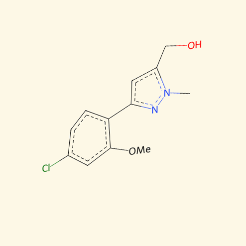 COc1cc(Cl)ccc1-c1cc(CO)n(C)n1